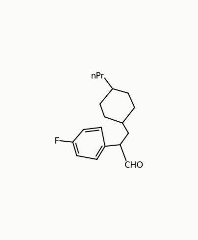 CCCC1CCC(CC(C=O)c2ccc(F)cc2)CC1